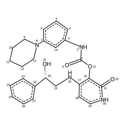 O=C(Nc1cccc(N2CCCCC2)c1)Oc1c(NC[C@@H](O)c2ccccc2)cc[nH]c1=O